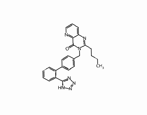 CCCCc1nc2cccnc2c(=O)n1Cc1ccc(-c2ccccc2-c2nnn[nH]2)cc1